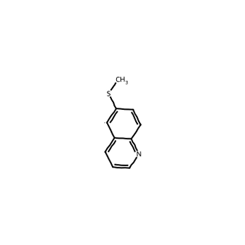 CSc1[c]c2cccnc2cc1